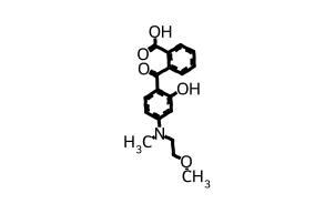 COCCN(C)c1ccc(C(=O)c2ccccc2C(=O)O)c(O)c1